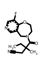 CCC(C)(CC#N)C(=O)N1CCOc2c(F)cncc2C1